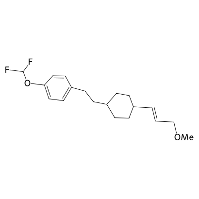 COC/C=C/C1CCC(CCc2ccc(OC(F)F)cc2)CC1